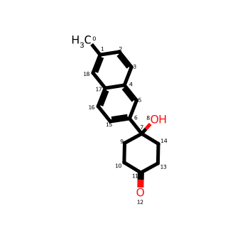 Cc1ccc2cc(C3(O)CCC(=O)CC3)ccc2c1